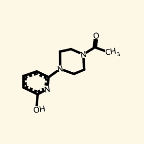 CC(=O)N1CCN(c2cccc(O)n2)CC1